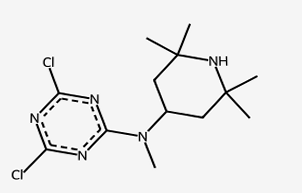 CN(c1nc(Cl)nc(Cl)n1)C1CC(C)(C)NC(C)(C)C1